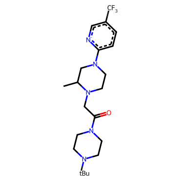 CC1CN(c2ccc(C(F)(F)F)cn2)CCN1CC(=O)N1CCN(C(C)(C)C)CC1